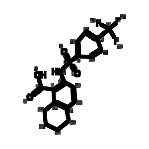 O=C(O)c1c(NS(=O)(=O)c2ccc(C(F)(F)F)cc2)ccc2c1CCCC2